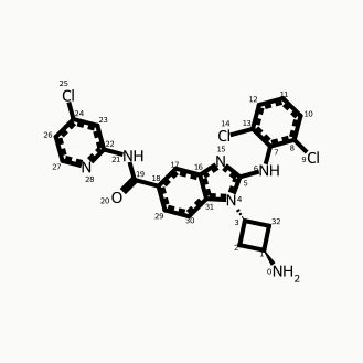 N[C@H]1C[C@H](n2c(Nc3c(Cl)cccc3Cl)nc3cc(C(=O)Nc4cc(Cl)ccn4)ccc32)C1